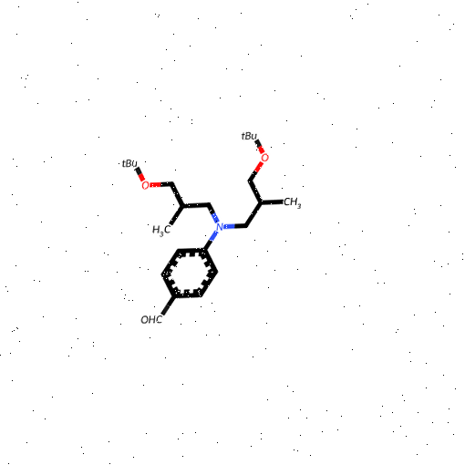 CC(COC(C)(C)C)CN(CC(C)COC(C)(C)C)c1ccc(C=O)cc1